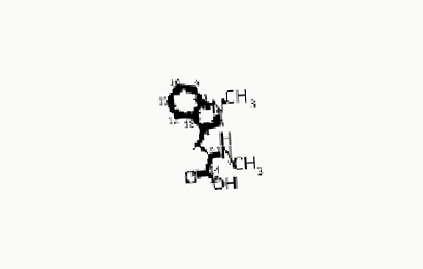 CN[C@H](Cc1cn(C)c2ccccc12)C(=O)O